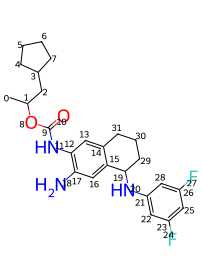 CC(CC1CCCC1)OC(=O)Nc1cc2c(cc1N)C(Nc1cc(F)cc(F)c1)CCC2